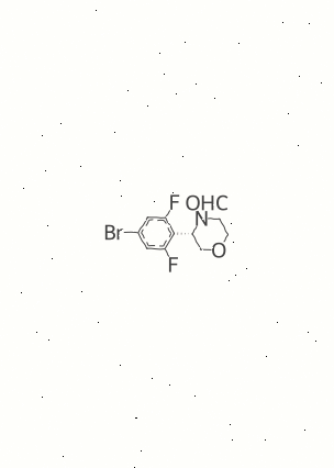 O=CN1CCOC[C@@H]1c1c(F)cc(Br)cc1F